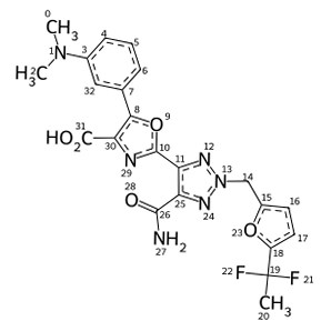 CN(C)c1cccc(-c2oc(-c3nn(Cc4ccc(C(C)(F)F)o4)nc3C(N)=O)nc2C(=O)O)c1